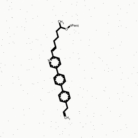 C=CCc1ccc(-c2ccc(-c3ccc(C=CCCCC(C)OCCCCC)nc3)cc2)cc1